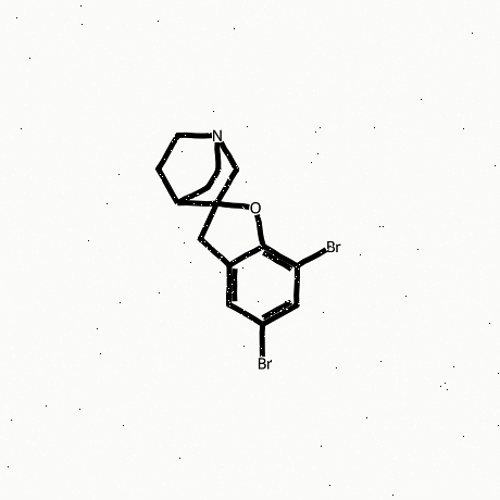 Brc1cc(Br)c2c(c1)CC1(CN3CCC1CC3)O2